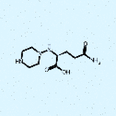 NC(=O)CC[C@H](NN1CCNCC1)C(=O)O